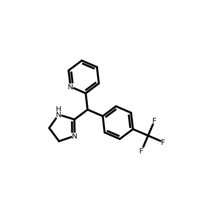 FC(F)(F)c1ccc(C(C2=NCCN2)c2ccccn2)cc1